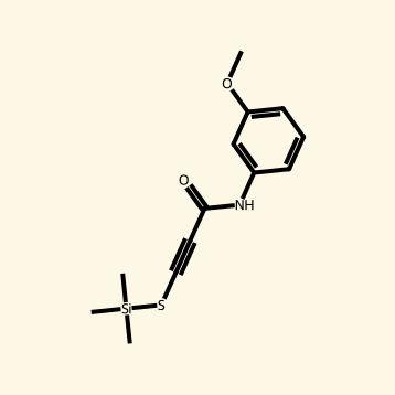 COc1cccc(NC(=O)C#CS[Si](C)(C)C)c1